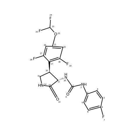 O=C(Nc1ccc(F)cc1)N[C@@H]1C(=O)NC[C@H]1c1c(F)cc(OC(F)F)cc1F